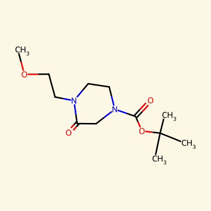 COCCN1CCN(C(=O)OC(C)(C)C)CC1=O